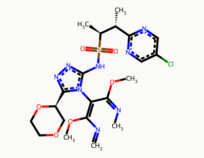 C=N/C(OC)=C(\C(=N/C)OC)n1c(NS(=O)(=O)[C@@H](C)[C@H](C)c2ncc(Cl)cn2)nnc1[C@H]1COCCO1